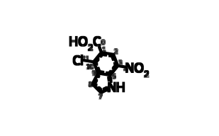 O=C(O)c1cc([N+](=O)[O-])c2[nH]ccc2c1Cl